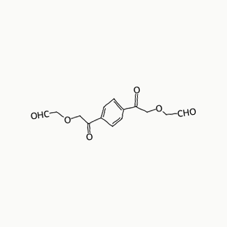 O=CCOCC(=O)c1ccc(C(=O)COCC=O)cc1